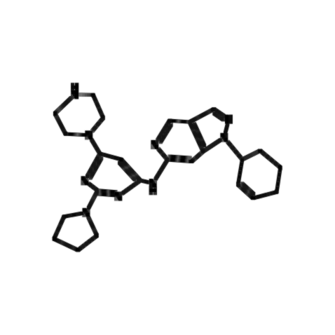 C1=CC(n2ncc3cnc(Nc4cc(N5CCNCC5)nc(N5CCCC5)n4)cc32)CCC1